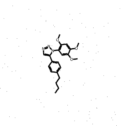 CCCCc1ccc(-c2cnnn2-c2cc(OC)c(OC)cc2OC)cc1